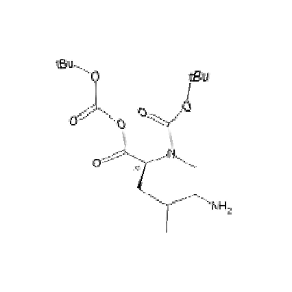 CC(CN)C[C@@H](C(=O)OC(=O)OC(C)(C)C)N(C)C(=O)OC(C)(C)C